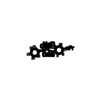 CCCc1ccc(OCC(OC)(OC)c2ccccc2)c(OC)c1